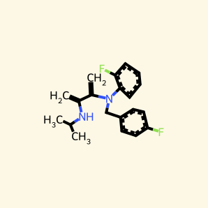 C=C(NC(C)C)C(=C)N(Cc1ccc(F)cc1)c1ccccc1F